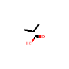 CCC.O=CO